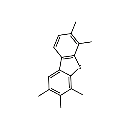 Cc1cc2c(sc3c(C)c(C)ccc32)c(C)c1C